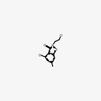 Cc1cc(Cl)c2c(=O)n(CCCl)sc2c1